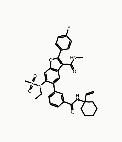 C=CC1(NC(=O)c2cccc(-c3cc4c(C(=O)NC)c(-c5ccc(F)cc5)oc4cc3N(CC)S(C)(=O)=O)c2)CCCCC1